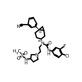 CS(=O)(=O)NC1CCN(CCN(C(=O)Nc2ccc(Cl)c(F)c2)[C@@H]2CC[C@]3(c4cccc(C#N)c4)CC3C2)C1